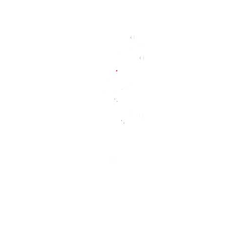 O=C(NCCCOc1ccc(Cl)c(Cl)c1)C(Cc1ccc(C(F)(F)P(=O)(O)O)cc1)NS(=O)(=O)c1ccccc1